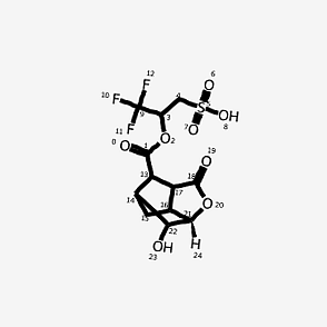 O=C(OC(CS(=O)(=O)O)C(F)(F)F)C1C2CC3C1C(=O)O[C@@H]3C2O